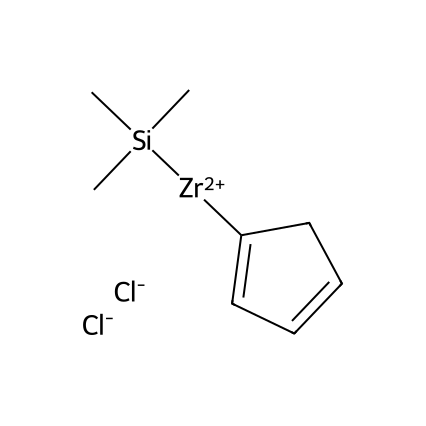 C[Si](C)(C)[Zr+2][C]1=CC=CC1.[Cl-].[Cl-]